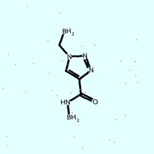 BCn1cc(C(=O)NB)nn1